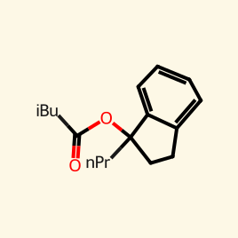 CCCC1(OC(=O)C(C)CC)CCc2ccccc21